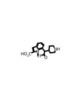 CCC(=O)C(c1cccc2cc(C(=O)O)n(C)c12)C1CCNCC1